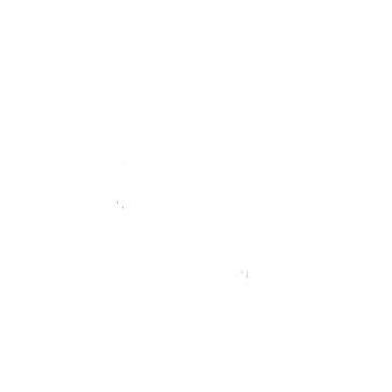 CCN(CC)c1cc(C)c2c(c1)[C@@H]1Cc3ccccc3[C@]1(C)N2C